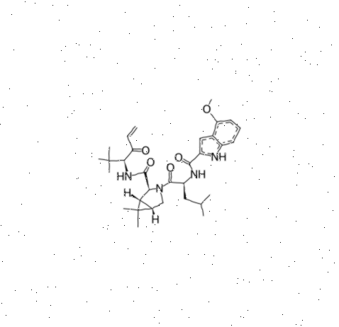 C=CC(=O)[C@@H](NC(=O)[C@@H]1[C@@H]2[C@H](CN1C(=O)[C@H](CC(C)C)NC(=O)c1cc3c(OC)cccc3[nH]1)C2(C)C)C(C)(C)C